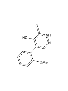 COc1ccccc1-c1cn[nH]c(=O)c1C#N